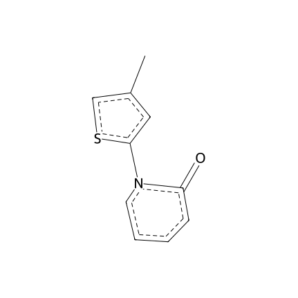 Cc1csc(-n2ccccc2=O)c1